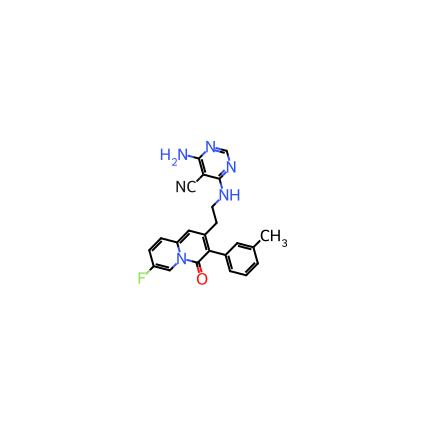 Cc1cccc(-c2c(CCNc3ncnc(N)c3C#N)cc3ccc(F)cn3c2=O)c1